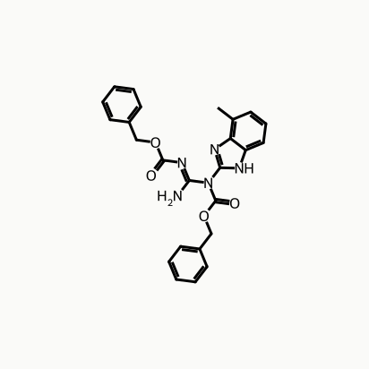 Cc1cccc2[nH]c(N(C(=O)OCc3ccccc3)C(N)=NC(=O)OCc3ccccc3)nc12